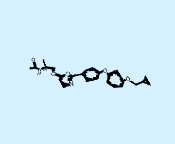 CC(=O)N[C@@H](C)COc1cnc(-c2ccc(Oc3cccc(OCC4CC4)c3)cc2)o1